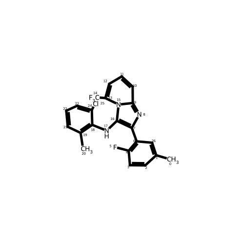 Cc1ccc(F)c(-c2nc3cccc(C(F)(F)F)n3c2Nc2c(C)cccc2Cl)c1